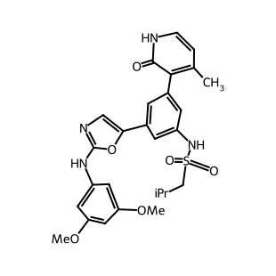 COc1cc(Nc2ncc(-c3cc(NS(=O)(=O)CC(C)C)cc(-c4c(C)cc[nH]c4=O)c3)o2)cc(OC)c1